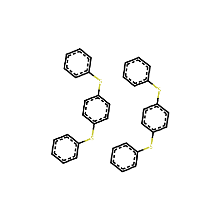 c1ccc(Sc2ccc(Sc3ccccc3)cc2)cc1.c1ccc(Sc2ccc(Sc3ccccc3)cc2)cc1